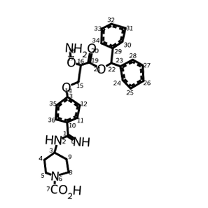 N=C(NC1CCN(C(=O)O)CC1)c1ccc(OCC(ON)C(=O)OC(c2ccccc2)c2ccccc2)cc1